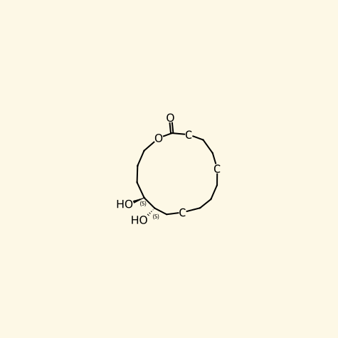 O=C1CCCCCCCCC[C@H](O)[C@@H](O)CCCO1